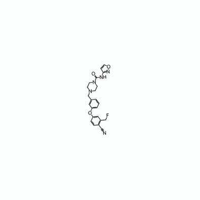 N#Cc1ccc(Oc2cccc(CN3CCN(C(=O)Nc4ccon4)CC3)c2)cc1CF